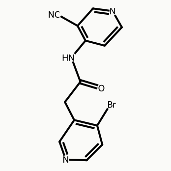 N#Cc1cnccc1NC(=O)Cc1cnccc1Br